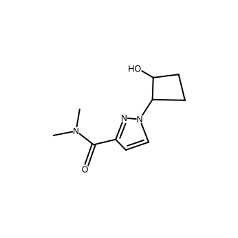 CN(C)C(=O)c1ccn(C2CCC2O)n1